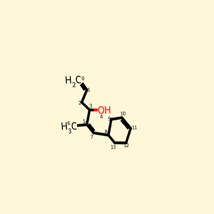 C=CCC(O)C(C)=CC1CC=CCC1